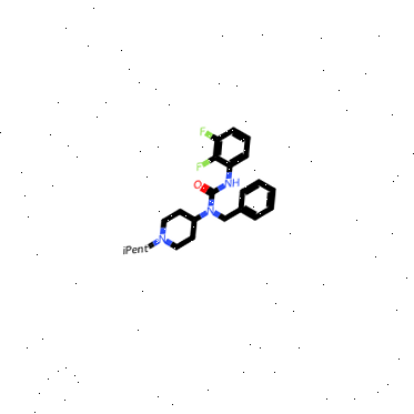 CCCC(C)N1CCC(N(Cc2ccccc2)C(=O)Nc2cccc(F)c2F)CC1